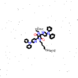 CCCCCCC/C=C/CCCN1C(=O)C2=C(c3ccc(N(c4ccccc4)c4ccccc4)cn3)N(CCCCCCCCCCCC)C(=O)C2=C1c1ccc(N(c2ccccc2)c2ccccc2)cn1